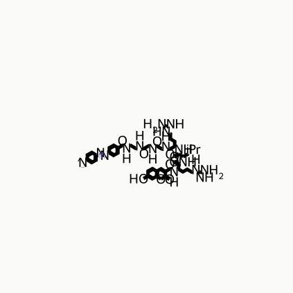 CC(C)CC(NC(=O)C(CCCNC(=N)N)NC(=O)c1cc2ccc(O)cc2oc1=O)C(=O)NC(CCCNC(=N)N)C(=O)NCC(=O)NCC(=O)NCCNC(=O)c1ccc(/N=N/c2ccc(N(C)C)cc2)cc1